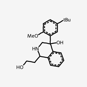 COc1ccc(C(C)(C)C)cc1C1(O)CNC(CCO)c2ccccc21